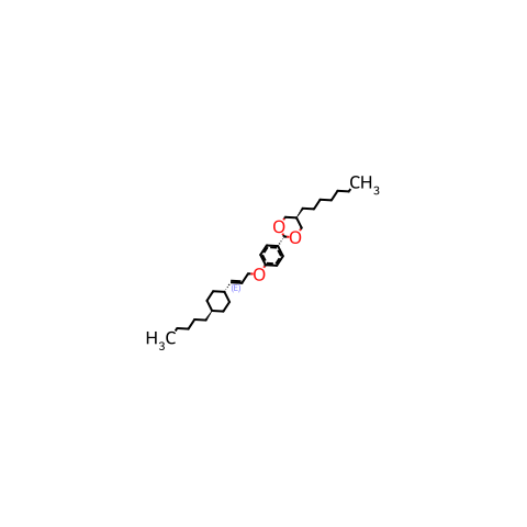 CCCCCCC[C@H]1CO[C@H](c2ccc(OC/C=C/[C@H]3CC[C@H](CCCCC)CC3)cc2)OC1